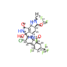 Cn1nc2c3c(c(NC(=O)c4cc(F)cc(C(F)(F)F)c4)cc2c1OC(F)F)C(O)(c1cc(F)ccc1Cl)NC3=O